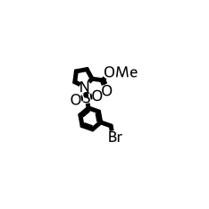 COC(=O)C1CCCN1S(=O)(=O)c1cccc(CBr)c1